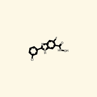 O=C(NO)c1cc2[nH]c(-c3cccc(Cl)c3)nc2cc1F